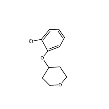 CCc1ccccc1OC1CCOCC1